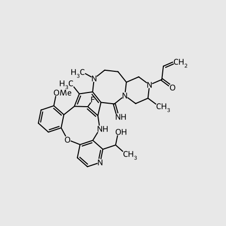 C=CC(=O)N1CC2CCN(C)c3c(C)c4c(F)c(c3C(=N)N2CC1C)Nc1c(ccnc1C(C)O)Oc1cccc(OC)c1-4